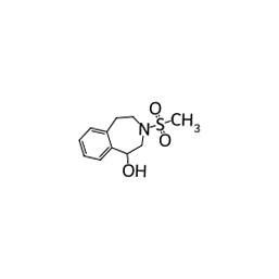 CS(=O)(=O)N1CCc2ccccc2C(O)C1